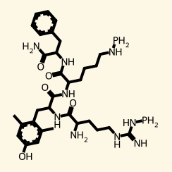 Cc1cc(O)cc(C)c1CC(NC(=O)C(N)CCCNC(=N)NP)C(=O)NC(CCCCNP)C(=O)NC(Cc1ccccc1)C(N)=O